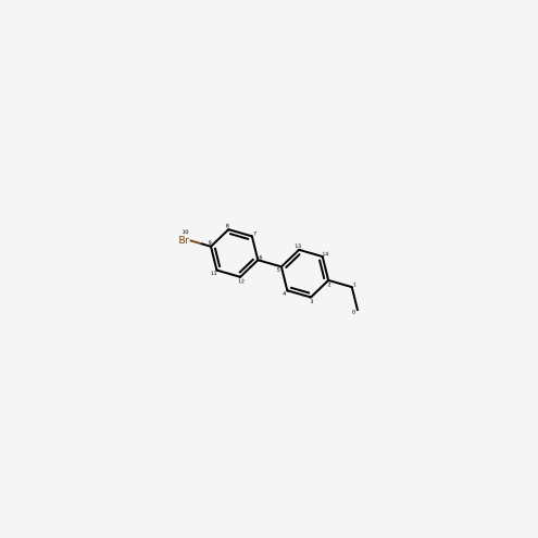 CCc1ccc(-c2ccc(Br)cc2)cc1